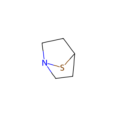 C1CN2CCC1S2